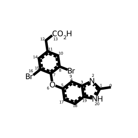 Cc1nc2cc(Oc3c(Br)cc(CC(=O)O)cc3Br)ccc2[nH]1